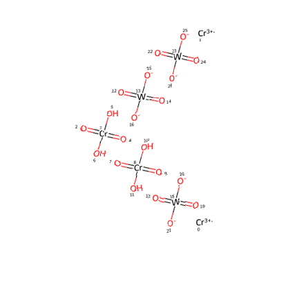 [Cr+3].[Cr+3].[O]=[Cr](=[O])([OH])[OH].[O]=[Cr](=[O])([OH])[OH].[O]=[W](=[O])([O-])[O-].[O]=[W](=[O])([O-])[O-].[O]=[W](=[O])([O-])[O-]